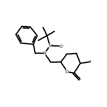 C=C1OC(CN(Cc2ccccc2)[S+]([O-])C(C)(C)C)CCC1I